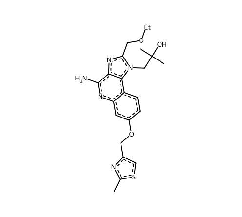 CCOCc1nc2c(N)nc3cc(OCc4csc(C)n4)ccc3c2n1CC(C)(C)O